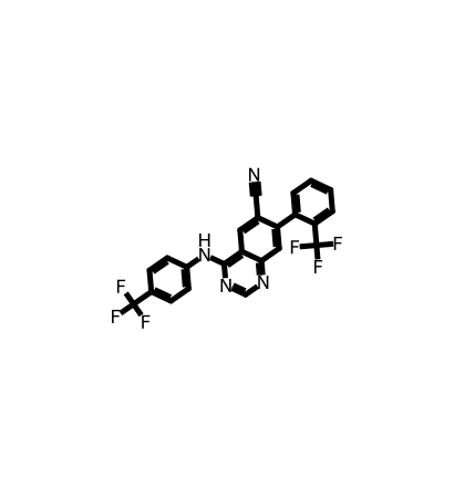 N#Cc1cc2c(Nc3ccc(C(F)(F)F)cc3)ncnc2cc1-c1ccccc1C(F)(F)F